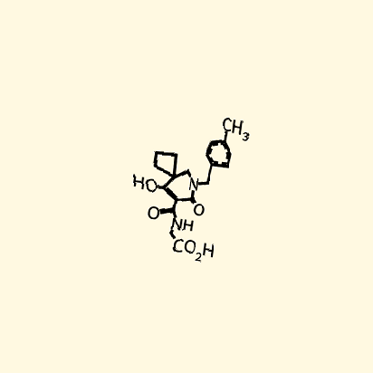 Cc1ccc(CN2CC3(CCC3)C(O)=C(C(=O)NCC(=O)O)C2=O)cc1